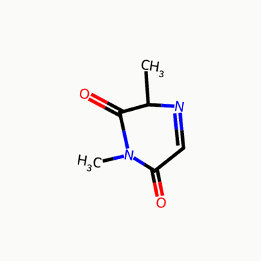 CC1N=CC(=O)N(C)C1=O